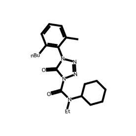 CCCCc1cccc(C)c1-n1nnn(C(=O)N(CC)C2CCCCC2)c1=O